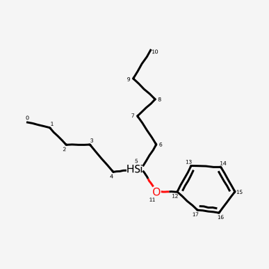 CCCCC[SiH](CCCCC)Oc1ccccc1